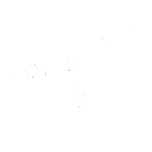 Cc1ccc(S(=O)(=O)OCc2cc(COS(=O)(=O)c3ccc(C)cc3)cc(OCCCNC(=O)OC(C)(C)C)c2)cc1